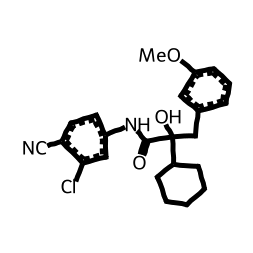 COc1cccc(CC(O)(C(=O)Nc2ccc(C#N)c(Cl)c2)C2CCCCC2)c1